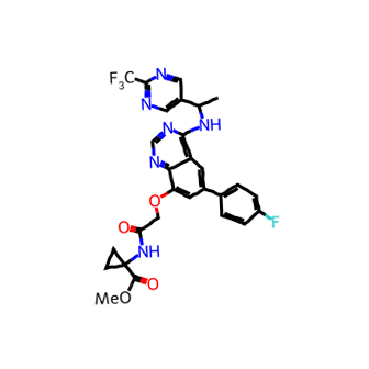 COC(=O)C1(NC(=O)COc2cc(-c3ccc(F)cc3)cc3c(NC(C)c4cnc(C(F)(F)F)nc4)ncnc23)CC1